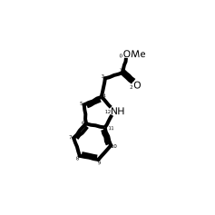 COC(=O)Cc1cc2ccccc2[nH]1